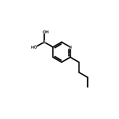 CCCCc1ccc(B(O)O)cn1